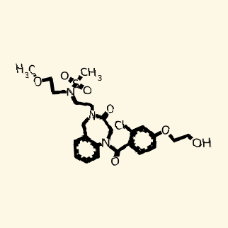 COCCN(CCN1Cc2ccccc2N(C(=O)c2ccc(OCCO)cc2Cl)CC1=O)S(C)(=O)=O